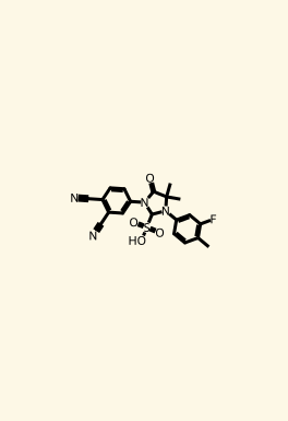 Cc1ccc(N2C(S(=O)(=O)O)N(c3ccc(C#N)c(C#N)c3)C(=O)C2(C)C)cc1F